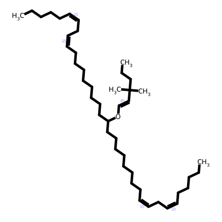 CCCCC/C=C\C/C=C\CCCCCCCCC(CCCCCCCC/C=C\C/C=C\CCCCC)O/C=C/C(C)(C)CCC